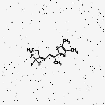 CC/C(=C\C=C(/C)c1nc(C)c(C)s1)C(F)(F)F